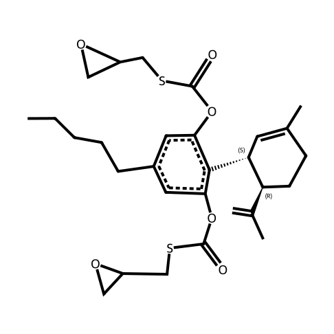 C=C(C)[C@@H]1CCC(C)=C[C@H]1c1c(OC(=O)SCC2CO2)cc(CCCCC)cc1OC(=O)SCC1CO1